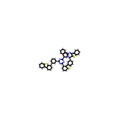 c1ccc(-c2nc(-c3cccc(-c4cccc5c4sc4ccccc45)c3)nc(-c3cccc4sc5ccc(-c6nc(-c7ccccc7)nc7c6sc6ccccc67)cc5c34)n2)cc1